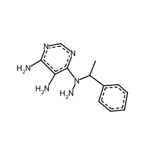 CC(c1ccccc1)N(N)c1ncnc(N)c1N